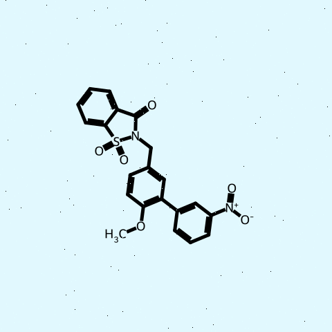 COc1ccc(CN2C(=O)c3ccccc3S2(=O)=O)cc1-c1cccc([N+](=O)[O-])c1